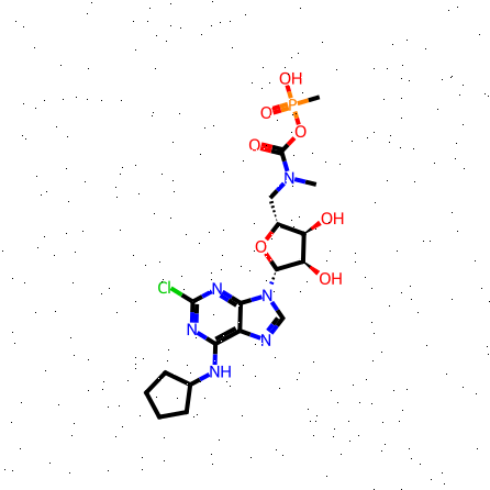 CN(C[C@H]1O[C@@H](n2cnc3c(NC4CCCC4)nc(Cl)nc32)[C@H](O)[C@@H]1O)C(=O)OP(C)(=O)O